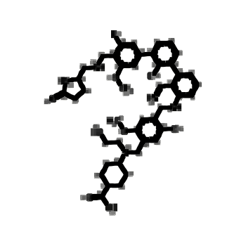 COc1cc(CNc2cccc(-c3cccc(-c4cc(F)c(CNCC5CCC(=O)N5)c(OC)c4)c3Cl)c2C=N)c(Cl)cc1CN(CCO)C1CCC(C(=O)O)CC1